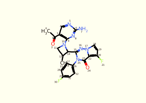 CC(=O)c1cnc(N)nc1N1CC(C)C1c1nn2ccc(F)c2c(=O)n1-c1ccc(F)cc1